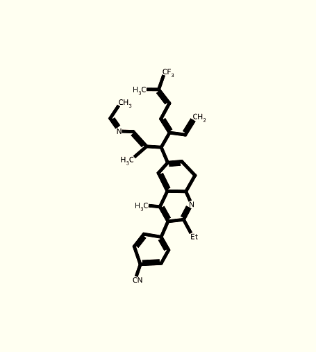 C=C/C(=C\C=C(/C)C(F)(F)F)C(C1=CCC2N=C(CC)C(c3ccc(C#N)cc3)=C(C)C2=C1)/C(C)=C/N=C\C